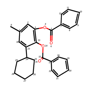 Cc1cc(OC(=O)c2ccccc2)c(OC(=O)c2ccccc2)c(C2CCCCC2)c1